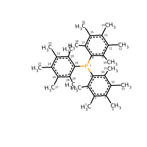 Cc1c(C)c(C)c(P(c2c(C)c(C)c(C)c(C)c2C)c2c(C)c(C)c(C)c(C)c2C)c(C)c1C